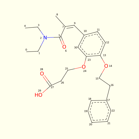 CCN(CC)C(=O)/C(C)=C\c1ccc(OCCc2ccccc2)c(OCCC(=O)O)c1